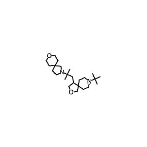 CC(C)(C)N1CCC2(CC1)COCC2CC(C)(C)N1CCC2(CCOCC2)C1